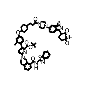 Cc1cc(OC2CCC(CCC(=O)N3CCN(c4ccc5c(C6CCC(=O)NC6=O)nn(C)c5c4)CC3)CC2)ccc1-c1ccc(N2CCc3cccc(C(=O)Nc4nc5ccccc5s4)c3C2)nc1C(=O)OC(C)(C)C